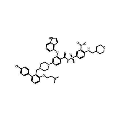 CN(C)CCOc1cccc(-c2ccc(Cl)cc2)c1CN1CCN(c2ccc(C(=O)NS(=O)(=O)c3ccc(NCC4CCOCC4)c([N+](=O)[O-])c3)c(Oc3cccc4[nH]ccc34)c2)CC1